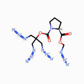 [N-]=[N+]=NCOC(=O)[C@@H]1CCCN1C(=O)OC(CN=[N+]=[N-])(CN=[N+]=[N-])CN=[N+]=[N-]